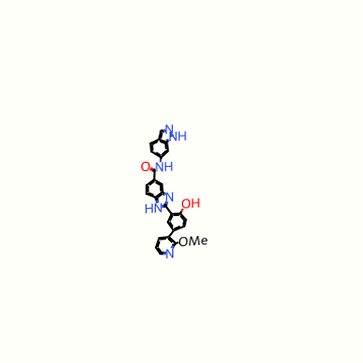 COc1ncccc1-c1ccc(O)c(-c2nc3cc(C(=O)Nc4ccc5cn[nH]c5c4)ccc3[nH]2)c1